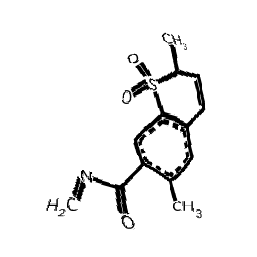 C=NC(=O)c1cc2c(cc1C)C=CC(C)S2(=O)=O